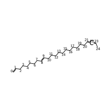 C=CCCCCCCC=CCCCCCCCCCCCC=C=CC